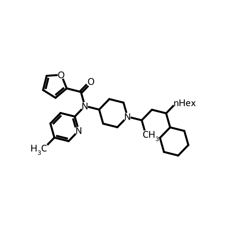 CCCCCCC(CC(C)N1CCC(N(C(=O)c2ccco2)c2ccc(C)cn2)CC1)C1CCCCC1